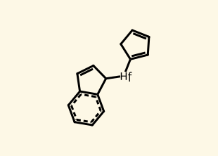 C1=CC[C]([Hf][CH]2C=Cc3ccccc32)=C1